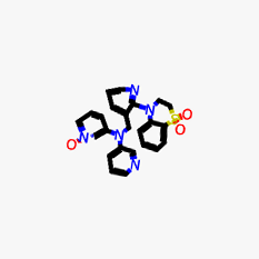 O=S1(=O)CCN(c2ncccc2CN(c2cccnc2)c2ccc[n+]([O-])c2)c2ccccc21